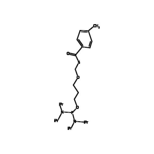 Cc1ccc(C(=O)SCOCCCOP(N(C(C)C)C(C)C)N(C(C)C)C(C)C)cc1